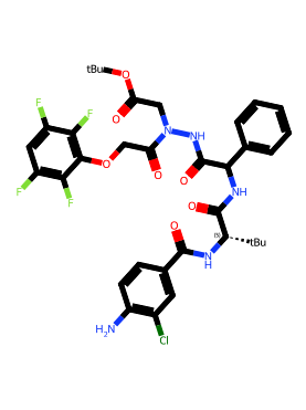 CC(C)(C)OC(=O)CN(NC(=O)C(NC(=O)[C@@H](NC(=O)c1ccc(N)c(Cl)c1)C(C)(C)C)c1ccccc1)C(=O)COc1c(F)c(F)cc(F)c1F